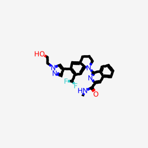 CNC(=O)c1cc2ccccc2c(N2CCCc3cc(-c4cnn(CCO)c4)c(C(F)F)cc32)n1